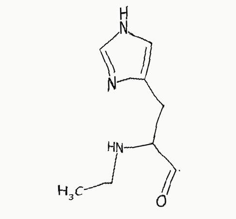 CCNC([C]=O)Cc1c[nH]cn1